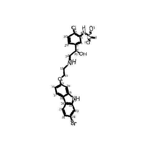 CS(=O)(=O)Nc1cc([C@@H](O)CNCCOc2ccc3c(c2)[nH]c2cc(Br)ccc23)ccc1Cl